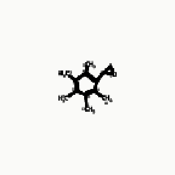 Cc1c(C)c(C)c(C2CO2)c(C)c1C